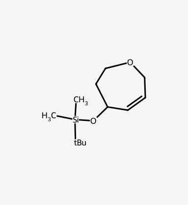 CC(C)(C)[Si](C)(C)OC1C=CCOCC1